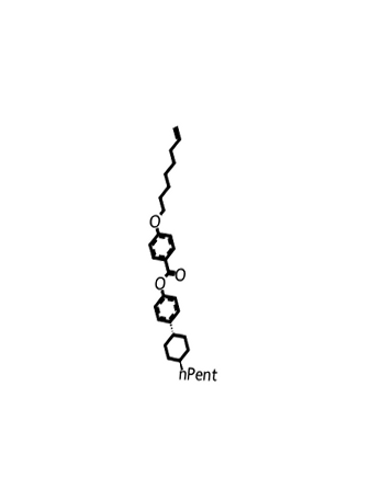 C=CCCCCCCOc1ccc(C(=O)Oc2ccc([C@H]3CC[C@H](CCCCC)CC3)cc2)cc1